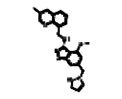 COc1cc(CN2C=CCN2)cc2onc(NSc3cccc4cc(C)cnc34)c12